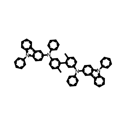 Cc1ccc(N(c2ccccc2)c2ccc3c(c2)c2ccccc2n3-c2ccccc2)cc1-c1cc(N(c2ccccc2)c2ccc3c(c2)c2ccccc2n3-c2ccccc2)ccc1C